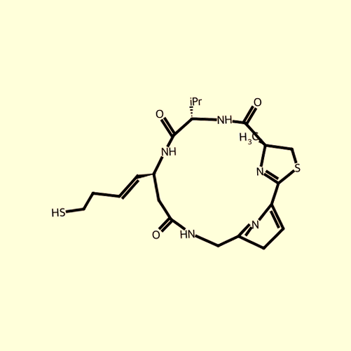 CC(C)[C@@H]1NC(=O)[C@]2(C)CSC(=N2)C2=CCC(=N2)CNC(=O)C[C@@H](/C=C/CCS)NC1=O